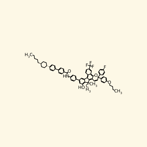 CCCCC[C@H]1CC[C@H](c2ccc(-c3ccc(C(=O)Nc4ccc(-c5cc(O)c6c(c5)-c5c(c7c(c8cc(C(F)(F)F)ccc58)OC(c5ccc(F)cc5)(c5ccc(OCCCC)cc5)C=C7)C6(C)C)cc4)cc3)cc2)CC1